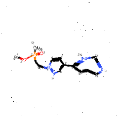 CCOP(=O)(C[n+]1ccc(-c2ccncn2)cn1)OC